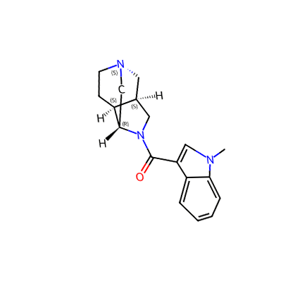 Cn1cc(C(=O)N2C[C@@H]3C[N@@]4CC[C@@H]3[C@@H]2C4)c2ccccc21